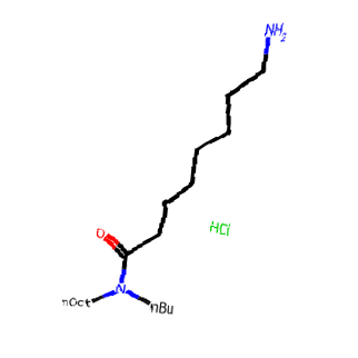 CCCCCCCCN(CCCC)C(=O)CCCCCCCN.Cl